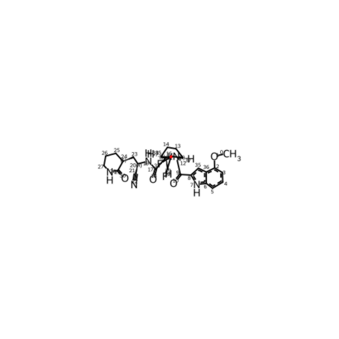 COc1cccc2[nH]c(C(=O)N3[C@@H]4CC[C@H]([C@H]3C(=O)N[C@@H](C#N)C[C@@H]3CCCNC3=O)C(F)(F)C4)cc12